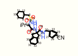 CC(C)[C@@H](NS(=O)(=O)CC1CCCCC1)C(=O)NC1(C(=O)NCc2ccc(C#N)cc2)Cc2ccccc2C1